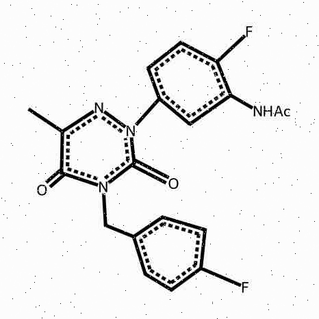 CC(=O)Nc1cc(-n2nc(C)c(=O)n(Cc3ccc(F)cc3)c2=O)ccc1F